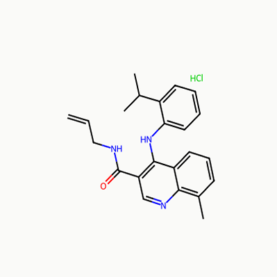 C=CCNC(=O)c1cnc2c(C)cccc2c1Nc1ccccc1C(C)C.Cl